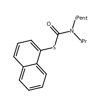 CCCC(C)N(C(=O)Sc1cccc2ccccc12)C(C)C